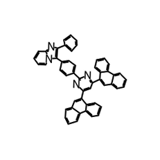 c1ccc(-c2nc3ccccn3c2-c2ccc(-c3nc(-c4cc5ccccc5c5ccccc45)cc(-c4cc5ccccc5c5ccccc45)n3)cc2)cc1